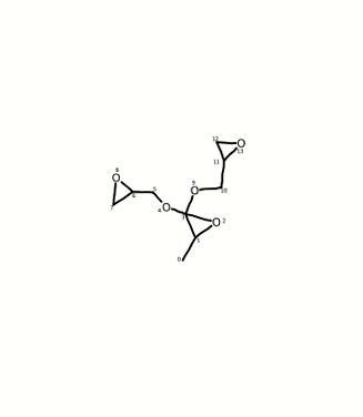 CC1OC1(OCC1CO1)OCC1CO1